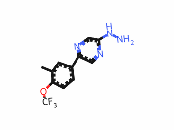 Cc1cc(-c2cnc(NN)cn2)ccc1OC(F)(F)F